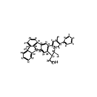 Cc1cc2[n+](cc1-c1ccccc1)C(C)C(CO)c1cc3c(cc1-2)c1cccc2c4ccccc4n3c21